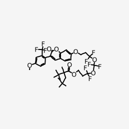 COc1ccc(-c2cc3ccc(OCCC(F)(F)OC(F)(F)OC(F)(F)CCOC(=O)C(C)(CC(C)(C)C)C(C)(C)C)cc3oc2=O)c(C(F)(F)F)c1